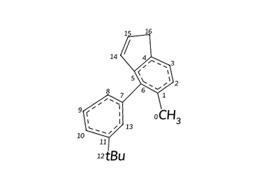 Cc1ccc2c(c1-c1cccc(C(C)(C)C)c1)C=CC2